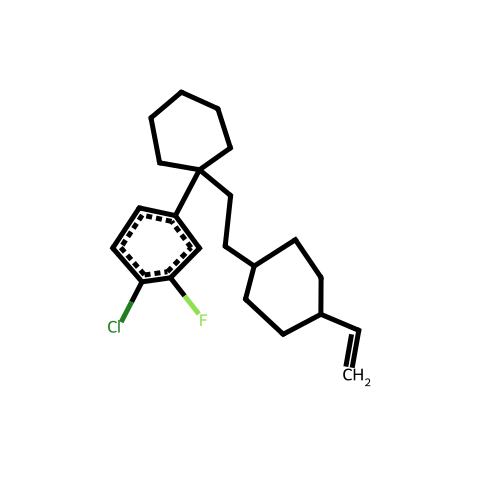 C=CC1CCC(CCC2(c3ccc(Cl)c(F)c3)CCCCC2)CC1